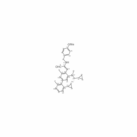 CSc1ccc(CN/C(C=O)=N/c2c(C)nc(-c3c(C)ncnc3C3CC3)nc2N(C)[C@@H](C)C2CC2)cc1